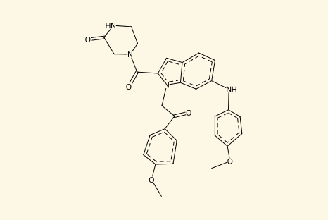 COc1ccc(Nc2ccc3cc(C(=O)N4CCNC(=O)C4)n(CC(=O)c4ccc(OC)cc4)c3c2)cc1